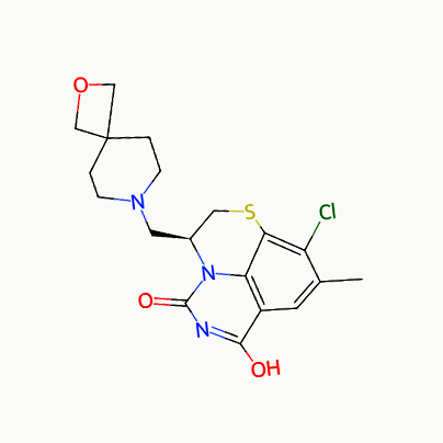 Cc1cc2c(O)nc(=O)n3c2c(c1Cl)SC[C@@H]3CN1CCC2(CC1)COC2